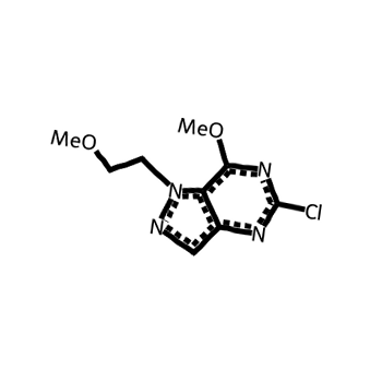 COCCn1ncc2nc(Cl)nc(OC)c21